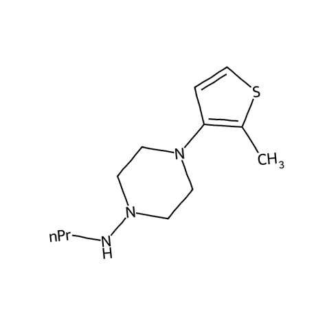 CCCNN1CCN(c2ccsc2C)CC1